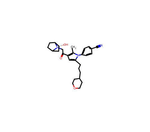 Cc1c(C(=O)CN2C3CCC2[C@H](O)C3)cc(CCCC2CCOCC2)n1-c1ccc(C#N)cc1